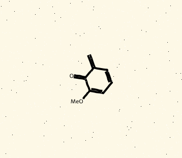 C=C1C=CC=C(OC)C1=O